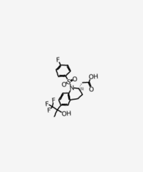 CC(O)(c1ccc2c(c1)CC[C@@H](CC(=O)O)N2S(=O)(=O)c1ccc(F)cc1)C(F)(F)F